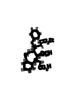 CCOC(=O)CN(Cc1ccccc1)C1CSc2ccccc2N(CC(=O)O)C1=O.Cl